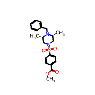 COC(=O)c1ccc(S(=O)(=O)N2C[C@@H](C)N(Cc3ccccc3)[C@@H](C)C2)cc1